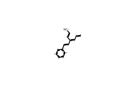 C=CC=C(C=CC#N)C=Cc1ccccc1